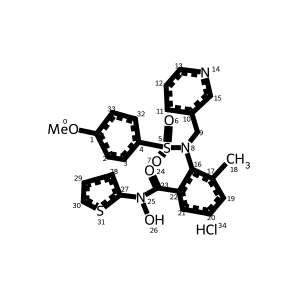 COc1ccc(S(=O)(=O)N(Cc2cccnc2)c2c(C)cccc2C(=O)N(O)c2cccs2)cc1.Cl